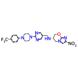 O=[N+]([O-])c1cn2c(n1)OC[C@@H](NCc1cnc(N3CCN(c4ccc(C(F)(F)F)cc4)CC3)nc1)C2